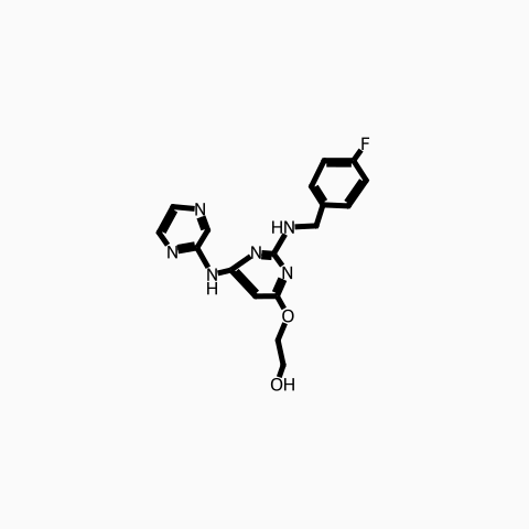 OCCOc1cc(Nc2cnccn2)nc(NCc2ccc(F)cc2)n1